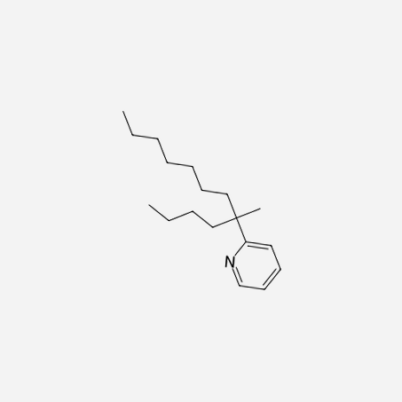 CCCCCCCC(C)(CCCC)c1ccccn1